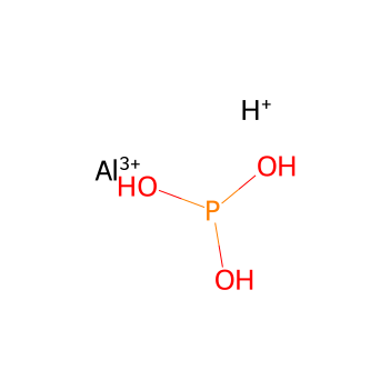 OP(O)O.[Al+3].[H+]